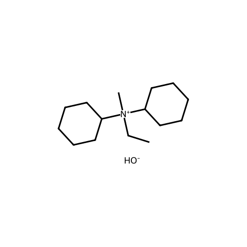 CC[N+](C)(C1CCCCC1)C1CCCCC1.[OH-]